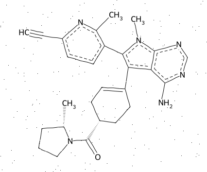 C#Cc1ccc(-c2c(C3=CC[C@@H](C(=O)N4CCC[C@@H]4C)CC3)c3c(N)ncnc3n2C)c(C)n1